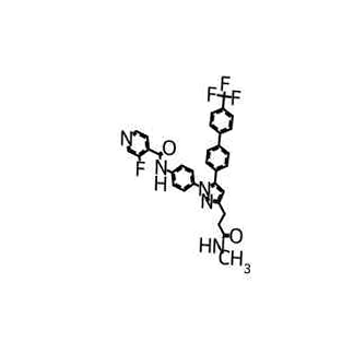 CNC(=O)CCc1cc(-c2ccc(-c3ccc(C(F)(F)F)cc3)cc2)n(-c2ccc(NC(=O)c3ccncc3F)cc2)n1